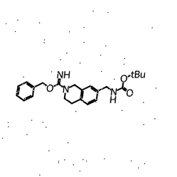 CC(C)(C)OC(=O)NCc1ccc2c(c1)CN(C(=N)OCc1ccccc1)CC2